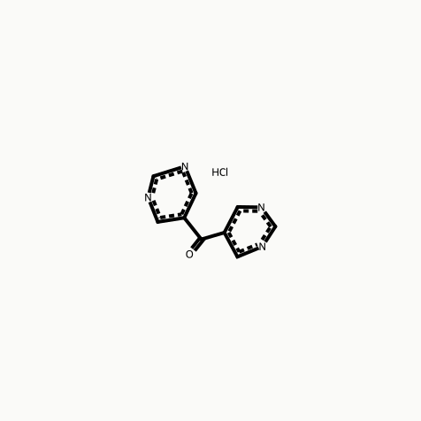 Cl.O=C(c1cncnc1)c1cncnc1